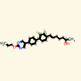 C=CCOc1ncc(-c2ccc(-c3ccc(/C=C/CCCC(C)O)c(F)c3F)cc2)cn1